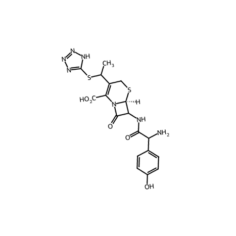 CC(Sc1nnn[nH]1)C1=C(C(=O)O)N2C(=O)C(NC(=O)C(N)c3ccc(O)cc3)[C@@H]2SC1